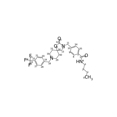 CCCCNC(=O)c1ccc(CN2CC3(CCN(Cc4ccc(C(F)(F)F)cc4)CC3)OC2=O)cc1